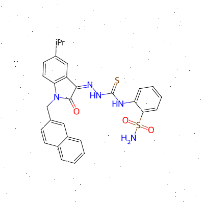 CC(C)c1ccc2c(c1)C(=NNC(=S)Nc1ccccc1S(N)(=O)=O)C(=O)N2Cc1ccc2ccccc2c1